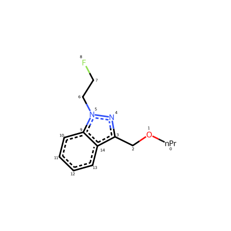 CCCOCc1nn(CCF)c2ccccc12